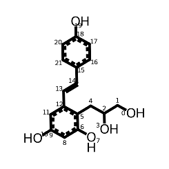 OCC(O)Cc1c(O)cc(O)cc1C=Cc1ccc(O)cc1